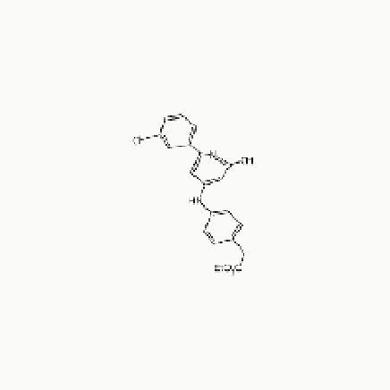 CCOC(=O)Cc1ccc(Nc2cc(C)nc(-c3cccc(Cl)c3)c2)cc1